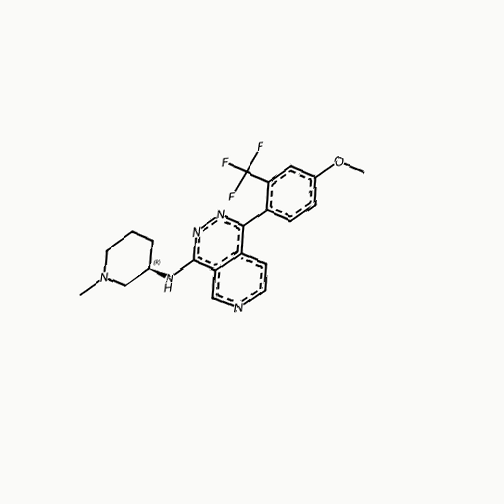 COc1ccc(-c2nnc(N[C@@H]3CCCN(C)C3)c3cnccc23)c(C(F)(F)F)c1